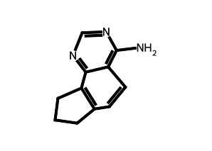 Nc1ncnc2c3c(ccc12)CCC3